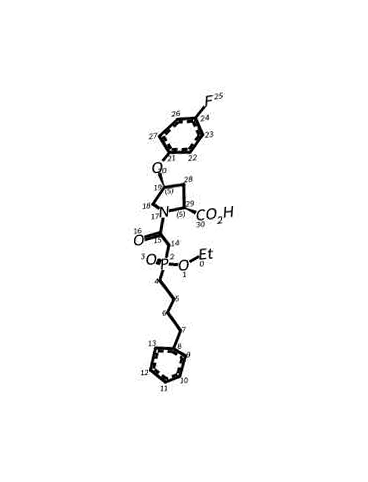 CCOP(=O)(CCCCc1ccccc1)CC(=O)N1C[C@@H](Oc2ccc(F)cc2)C[C@H]1C(=O)O